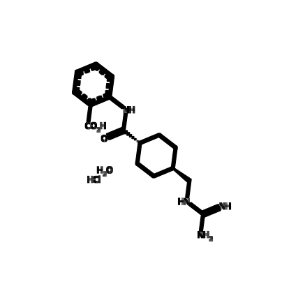 Cl.N=C(N)NC[C@H]1CC[C@H](C(=O)Nc2ccccc2C(=O)O)CC1.O